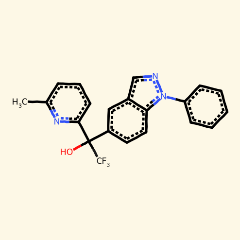 Cc1cccc(C(O)(c2ccc3c(cnn3-c3ccccc3)c2)C(F)(F)F)n1